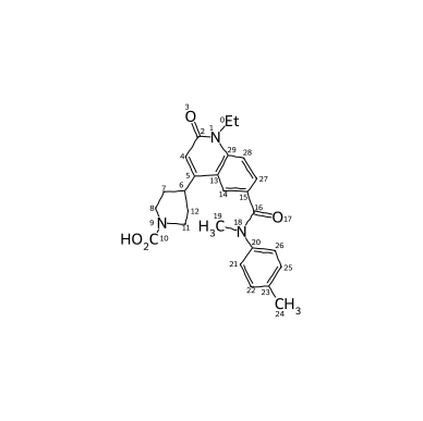 CCn1c(=O)cc(C2CCN(C(=O)O)CC2)c2cc(C(=O)N(C)c3ccc(C)cc3)ccc21